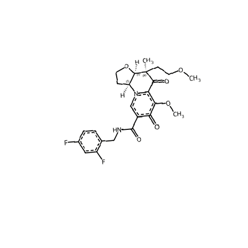 COCC[C@@]1(C)C(=O)c2c(OC)c(=O)c(C(=O)NCc3ccc(F)cc3F)cn2[C@H]2CCO[C@H]21